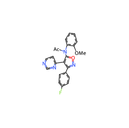 COc1ccccc1N(C(C)=O)c1onc(-c2ccc(F)cc2)c1-c1ccncn1